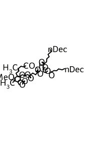 CCCCCCCCCCCCCCCC(=O)OCC(COC(=O)CCCCCCCCCCCCCCC)OC(=O)CCC(=O)OCOc1c(C/C=C(\C)CCC(=O)O)c(OC)c(C)c2c1C(=O)OC2